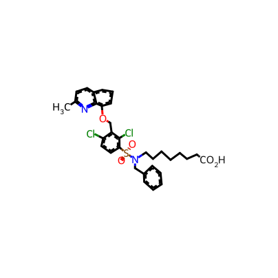 Cc1ccc2cccc(OCc3c(Cl)ccc(S(=O)(=O)N(CCCCCCCC(=O)O)Cc4ccccc4)c3Cl)c2n1